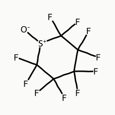 [O-][S+]1C(F)(F)C(F)(F)C(F)(F)C(F)(F)C1(F)F